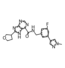 Cn1cc(-c2cc(F)cc(CNC(=O)c3ncnc4nc(C5CCOC5)[nH]c34)c2)cn1